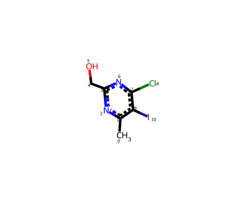 Cc1nc(CO)nc(Cl)c1I